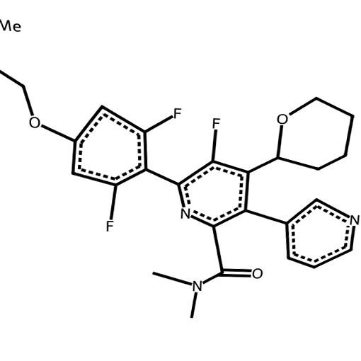 COCCOc1cc(F)c(-c2nc(C(=O)N(C)C)c(-c3cccnc3)c(C3CCCCO3)c2F)c(F)c1